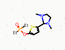 CCP(=O)(CC)Oc1ccc(C2N(C)CCN2C)s1